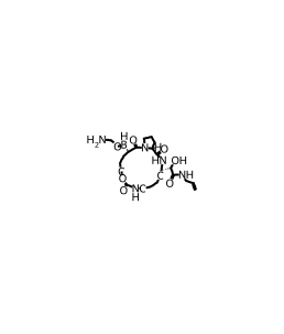 C=CCNC(=O)C(O)[C@@H]1CCCCNC(=O)OCCC[C@H](BOCN)C(=O)N2CCC[C@H]2C(=O)N1